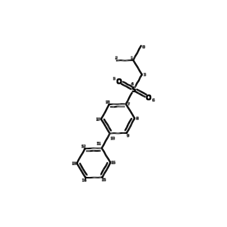 CC(C)CS(=O)(=O)c1ccc(-c2ccccc2)cc1